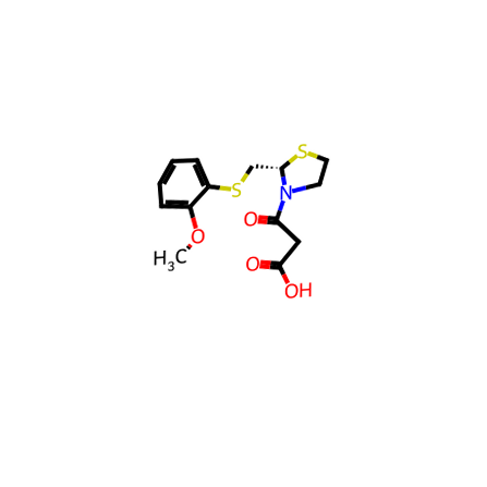 COc1ccccc1SC[C@@H]1SCCN1C(=O)CC(=O)O